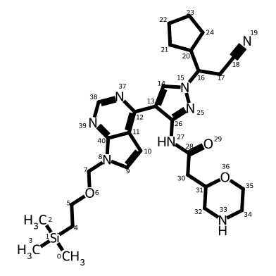 C[Si](C)(C)CCOCn1ccc2c(-c3cn(C(CC#N)C4CCCC4)nc3NC(=O)CC3CNCCO3)ncnc21